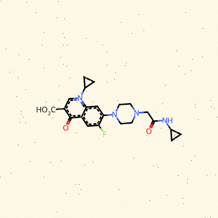 O=C(CN1CCN(c2cc3c(cc2F)c(=O)c(C(=O)O)cn3C2CC2)CC1)NC1CC1